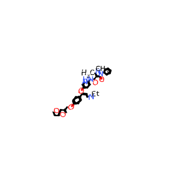 CC/N=C\C=C(\Oc1ccc(NC(=O)c2c(C)n(C)n(-c3ccccc3)c2=O)nc1)c1ccc(OCC2COC3(CCCO3)C2)cc1